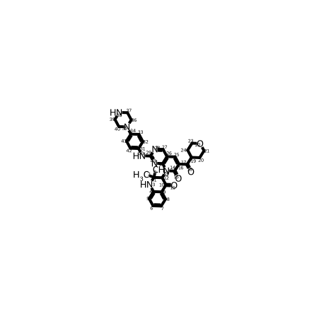 CC1(C)Nc2ccccc2C(=O)C1n1c(=O)c(C(=O)C2CCOCC2)cc2cnc(Nc3ccc(N4CCNCC4)cc3)nc21